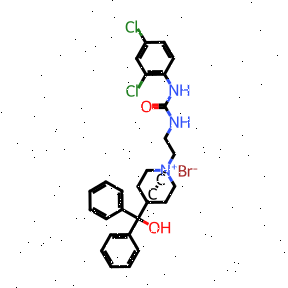 O=C(NCC[N+]12CCC(C(O)(c3ccccc3)c3ccccc3)(CC1)CC2)Nc1ccc(Cl)cc1Cl.[Br-]